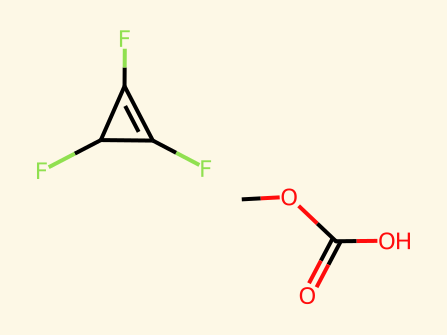 COC(=O)O.FC1=C(F)C1F